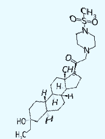 CC[C@@]1(O)CC[C@H]2[C@@H](CC[C@@H]3[C@@H]2CC[C@]2(C)[C@@H](C(=O)CN4CCN(S(C)(=O)=O)CC4)CC[C@@H]32)C1